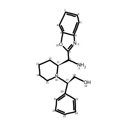 NC(c1nc2ccccc2o1)[C@@H]1CCCCN1[C@@H](CO)c1ccccc1